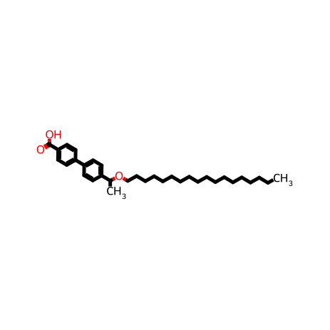 CCCCCCCCCCCCCCCCCCOC(C)c1ccc(-c2ccc(C(=O)O)cc2)cc1